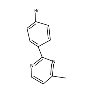 Cc1ccnc(-c2ccc(Br)cc2)n1